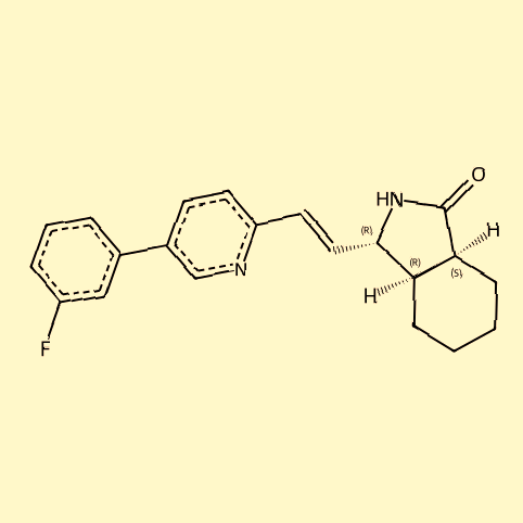 O=C1N[C@@H](C=Cc2ccc(-c3cccc(F)c3)cn2)[C@@H]2CCCC[C@H]12